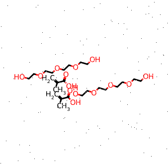 C=C(C)C(=O)O.C=C(C)C(=O)O.OCCOCCOCCOCCO.OCCOCCOCCOCCO